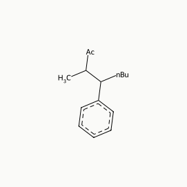 CCCCC(c1ccccc1)C(C)C(C)=O